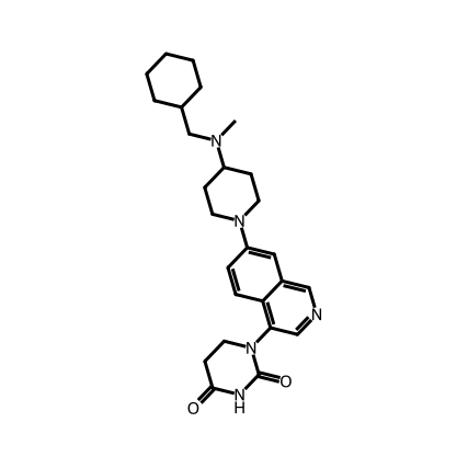 CN(CC1CCCCC1)C1CCN(c2ccc3c(N4CCC(=O)NC4=O)cncc3c2)CC1